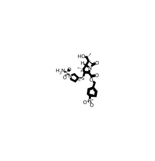 C[C@@H](O)[C@H]1C(=O)N2C(C(=O)OCc3ccc([N+](=O)[O-])cc3)=C(S[C@H]3CCN(S(N)(=O)=O)C3)[C@H](C)[C@H]12